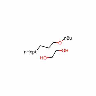 CCCCCCCCCCOCCCC.OCCO